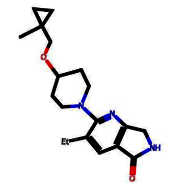 CCc1cc2c(nc1N1CCC(OCC3(C)CC3)CC1)CNC2=O